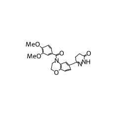 COc1ccc(C(=O)N2CCOc3ccc(C4=NNC(=O)CC4)cc32)cc1OC